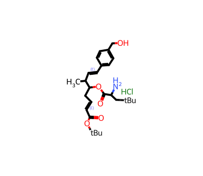 CC(/C=C/c1ccc(CO)cc1)C(C/C=C/C(=O)OC(C)(C)C)OC(=O)C(N)CC(C)(C)C.Cl